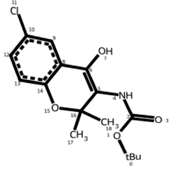 CC(C)(C)OC(=O)NC1=C(O)c2cc(Cl)ccc2OC1(C)C